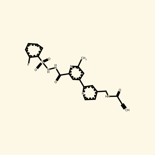 C#CC(=O)NCc1ccnc(-c2cc(C)nc(C(=O)NNS(=O)(=O)c3ccccc3F)c2)c1